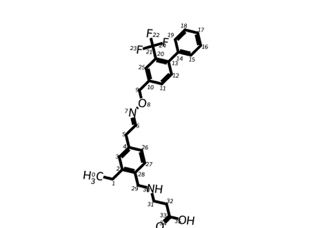 CCc1cc(CC=NOCc2ccc(-c3ccccc3)c(C(F)(F)F)c2)ccc1CNCCC(=O)O